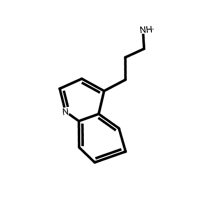 [NH]CCCc1ccnc2ccccc12